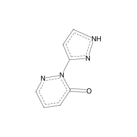 O=c1cccnn1-c1cc[nH]n1